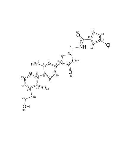 CCCc1cc(N2C[C@H](CNC(=O)c3ccc(Cl)s3)OC2=O)ccc1-n1cccc(CCO)c1=O